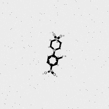 O=[N+]([O-])c1ccc(N2CCS(=O)(=O)CC2)c(F)c1